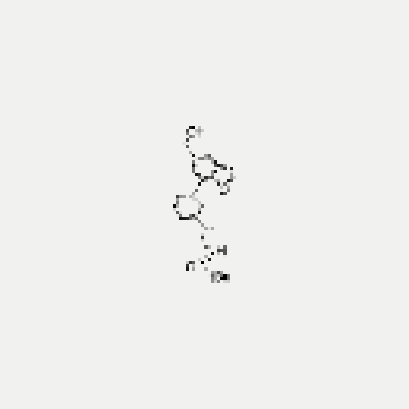 CC(C)(C)[S@@+]([O-])NC[C@H](F)c1cccc(-c2cc(CO)cc3ccoc23)c1